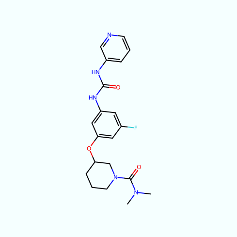 CN(C)C(=O)N1CCCC(Oc2cc(F)cc(NC(=O)Nc3cccnc3)c2)C1